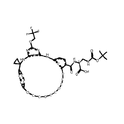 CC(C)(C)OC(=O)NC[C@H](NC(=O)c1ccc2cc1OCCOCCOCCOc1ccc(cc1)C1(CC1)Nc1nc(nc(OCC(F)(F)F)n1)N2)C(=O)O